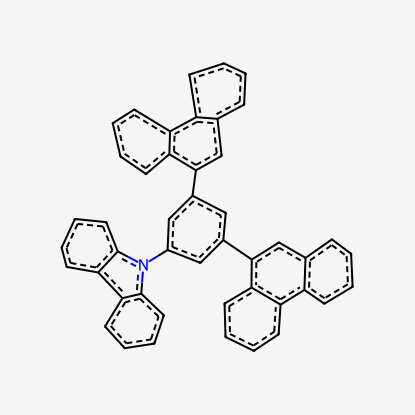 c1ccc2c(c1)cc(-c1cc(-c3cc4ccccc4c4ccccc34)cc(-n3c4ccccc4c4ccccc43)c1)c1ccccc12